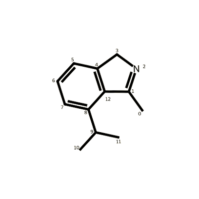 CC1=NCc2cccc(C(C)C)c21